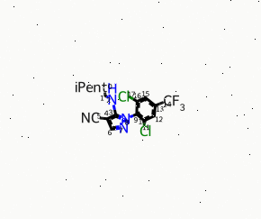 CCCC(C)CNc1c(C#N)cnn1-c1c(Cl)cc(C(F)(F)F)cc1Cl